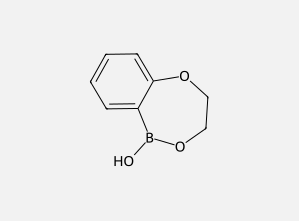 OB1OCCOc2ccccc21